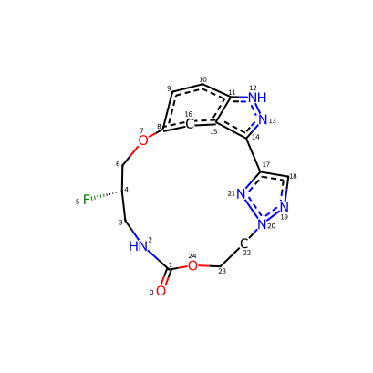 O=C1NC[C@H](F)COc2ccc3[nH]nc(c3c2)-c2cnn(n2)CCO1